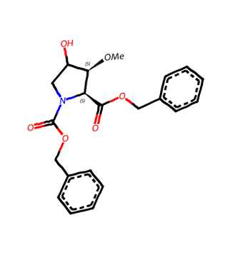 CO[C@@H]1C(O)CN(C(=O)OCc2ccccc2)[C@@H]1C(=O)OCc1ccccc1